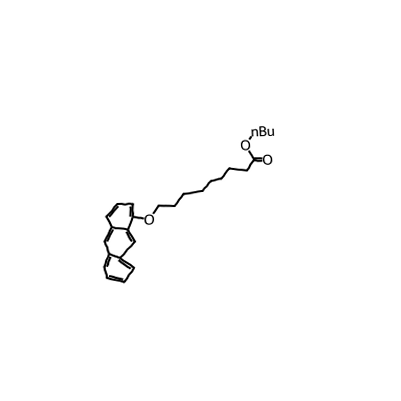 CCCCOC(=O)CCCCCCCCOc1cccc2cc3ccccc3cc12